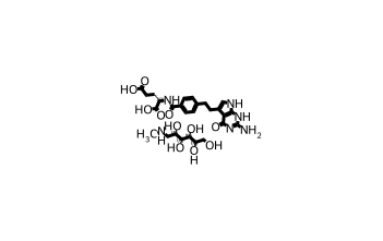 CNC[C@H](O)[C@@H](O)[C@H](O)[C@H](O)CO.Nc1nc(=O)c2c(CCc3ccc(C(=O)N[C@@H](CCC(=O)O)C(=O)O)cc3)c[nH]c2[nH]1